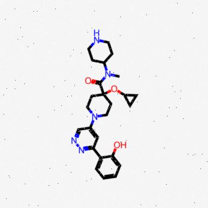 CN(C(=O)C1(OC2CC2)CCN(c2cnnc(-c3ccccc3O)c2)CC1)C1CCNCC1